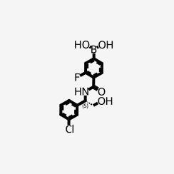 O=C(N[C@H](CO)c1cccc(Cl)c1)c1ccc(B(O)O)cc1F